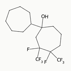 OC1(C2CCCCCC2)CCCC(F)(C(F)(F)F)C(F)(C(F)(F)F)C1